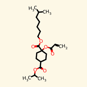 C=CC(=O)OC1(C(=O)OCCCCCC(C)C)CCC(C(=O)OC(C)C)CC1